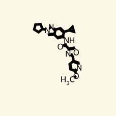 COc1ccc(-c2nc(C(=O)Nc3cc4cn(C5CCCC5)nc4cc3C3CC3)co2)cn1